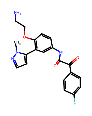 Cn1nccc1-c1cc(NC(=O)C(=O)c2ccc(F)cc2)ccc1OCCN